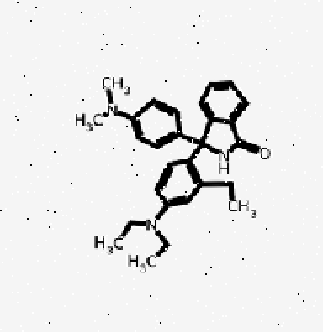 CCc1cc(N(CC)CC)ccc1C1(c2ccc(N(C)C)cc2)NC(=O)c2ccccc21